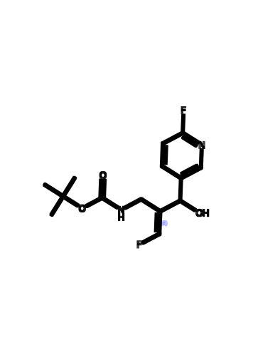 CC(C)(C)OC(=O)NC/C(=C\F)C(O)c1ccc(F)nc1